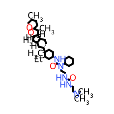 CC[C@@H]1C[C@H](NC(=O)N(CCNC(=O)NCCN(C)C)C2CCCCC2)CC[C@]1(C)[C@H]1CC[C@@]2(C)[C@H](C1)C[C@@H]1OC3(CCC(C)CO3)[C@@H](C)[C@@H]12